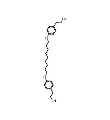 N#CCCc1ccc(OCCCCCCCCCOc2ccc(CCC#N)cc2)cc1